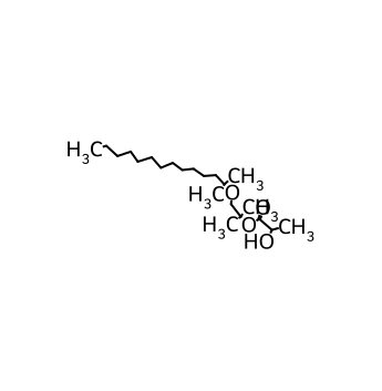 CCCCCCCCCCCCC(C)(C)OCC(C)(C)OC(=O)C(C)O